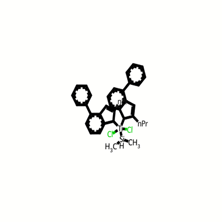 CCCC1=Cc2c(-c3ccccc3)cccc2[CH]1[Ti]([Cl])([Cl])([CH]1C(CCC)=Cc2c(-c3ccccc3)cccc21)[SiH](C)C